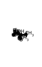 Cc1ccnc(C#Cc2cnc(O[C@H]3C[C@@H](C(=O)O)N(c4nc(C(F)F)nc5c4oc4ccccc45)C3)c(N3CCOC4(COC4)[C@@H]3C)c2)c1